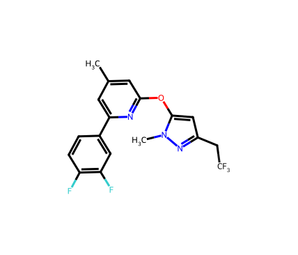 Cc1cc(Oc2cc(CC(F)(F)F)nn2C)nc(-c2ccc(F)c(F)c2)c1